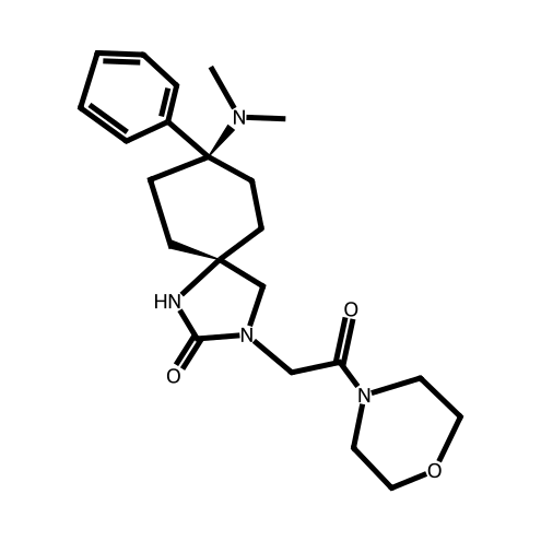 CN(C)[C@]1(c2ccccc2)CC[C@@]2(CC1)CN(CC(=O)N1CCOCC1)C(=O)N2